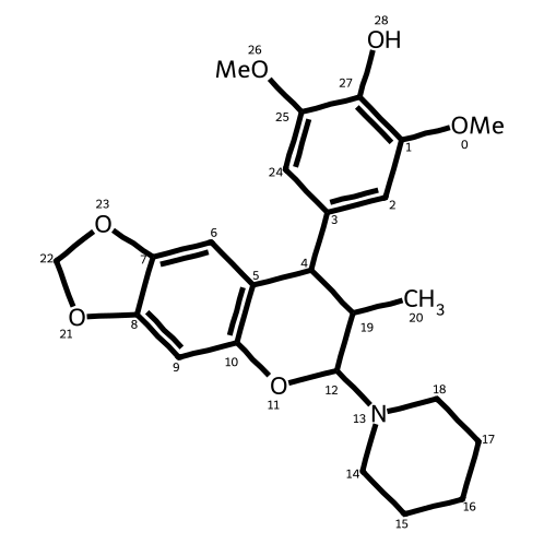 COc1cc(C2c3cc4c(cc3OC(N3CCCCC3)C2C)OCO4)cc(OC)c1O